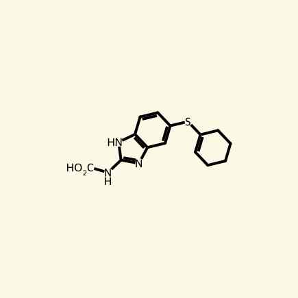 O=C(O)Nc1nc2cc(SC3=CCCCC3)ccc2[nH]1